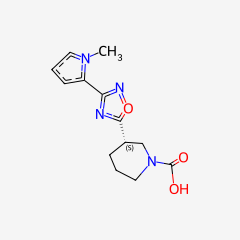 Cn1cccc1-c1noc([C@H]2CCCN(C(=O)O)C2)n1